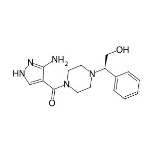 Nc1n[nH]cc1C(=O)N1CCN([C@@H](CO)c2ccccc2)CC1